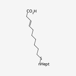 CCCCCCCSCCCCCC/C=C/CC(=O)O